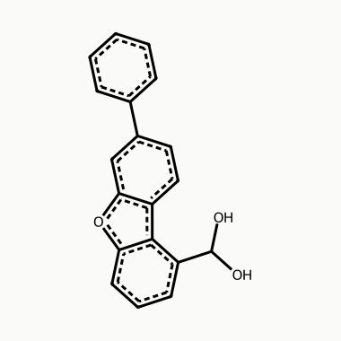 OC(O)c1cccc2oc3cc(-c4ccccc4)ccc3c12